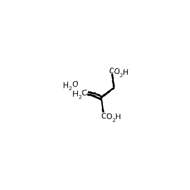 C=C(CC(=O)O)C(=O)O.O